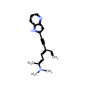 C=C/C(C#Cc1cc2ncccc2[nH]1)=C\C=C(/C)N(C)C